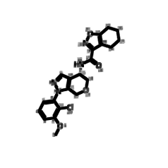 COc1cccc(-n2ncc3c2COC[C@H]3NC(=O)c2noc3c2CCCC3)c1Cl